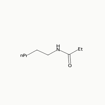 CCCCCNC(=O)CC